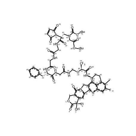 CC[C@@]1(O)C(=O)OCc2c1cc1n(c2=O)Cc2c-1nc1cc(F)c(C)c3c1c2[C@@H](NC(=O)[C@@H](OCNC(=O)CNC(=O)[C@H](Cc1ccccc1)NC(=O)CNC(=O)CNC(=O)[C@@H](CN(CC(=O)OC(C)(C)C)C(=O)OC(C)(C)C)N1C(=O)C=CC1=O)C(F)(F)F)CC3